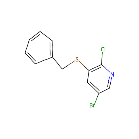 Clc1ncc(Br)cc1SCc1ccccc1